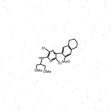 CCc1nc(-c2cc3c(cc2OC)CCCC3)c(CC)nc1NC(COC)COC